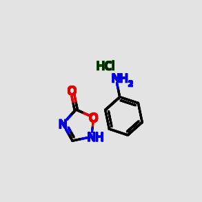 Cl.Nc1ccccc1.O=c1nc[nH]o1